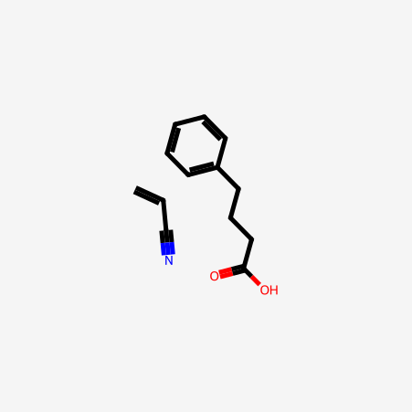 C=CC#N.O=C(O)CCCc1ccccc1